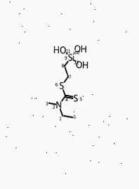 CCN(C)C(=S)SCC[Si](O)(O)O